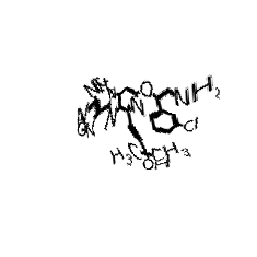 CCn1c(-c2nonc2N)nc2c(C#CC(C)(C)O)nc(OC(CN)c3cccc(Cl)c3)cc21